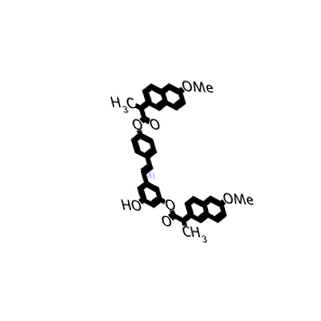 COc1ccc2cc(C(C)C(=O)Oc3ccc(/C=C/c4cc(O)cc(OC(=O)C(C)c5ccc6cc(OC)ccc6c5)c4)cc3)ccc2c1